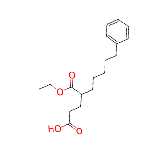 CCOC(=O)C(CCCCCc1ccccc1)CCC(=O)O